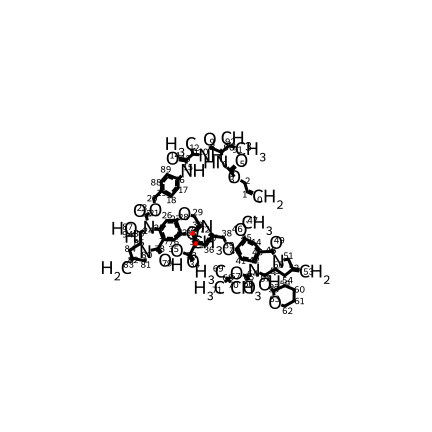 C=CCOC(=O)NC(C(=O)NC(C)C(=O)Nc1ccc(COC(=O)N2c3cc(OCc4cc(C(=O)O)cc(COc5cc6c(cc5OC)C(=O)N5CC(=C)C[C@H]5[C@H](OC5CCCCO5)N6C(=O)OC(C)(C)C)n4)c(OC)cc3C(=O)N3CC(=C)C[C@H]3[C@@H]2O)cc1)C(C)C